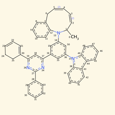 CC1/C=C\C=C/Cc2ccccc2N1c1cc(-c2cc(C3=CC=CCC3)nc(-c3ccccc3)n2)cc(-n2c3ccccc3c3ccccc32)c1